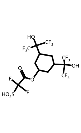 O=C(OC1CC(C(O)(C(F)(F)F)C(F)(F)F)CC(C(O)(C(F)(F)F)C(F)(F)F)C1)C(F)(F)S(=O)(=O)O